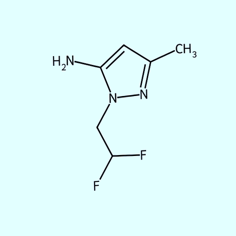 Cc1cc(N)n(CC(F)F)n1